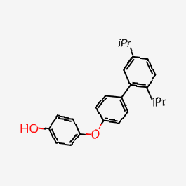 CC(C)c1ccc(C(C)C)c(-c2ccc(Oc3ccc(O)cc3)cc2)c1